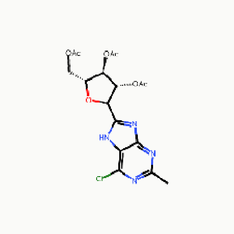 CC(=O)OC[C@H]1OC(c2nc3nc(C)nc(Cl)c3[nH]2)[C@@H](OC(C)=O)[C@@H]1OC(C)=O